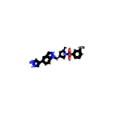 C[C@@H]1C[C@@H](Cn2ncc3cc(-c4cn[nH]c4)ccc32)CN1S(=O)(=O)c1cccc(C#N)c1